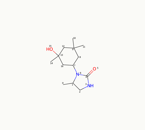 CC1CNC(=O)N1C1CC(C)(C)CC(C)(O)C1